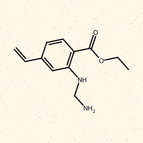 C=Cc1ccc(C(=O)OCC)c(NCN)c1